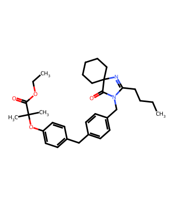 CCCCC1=NC2(CCCCC2)C(=O)N1Cc1ccc(Cc2ccc(OC(C)(C)C(=O)OCC)cc2)cc1